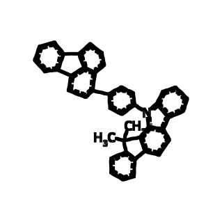 CC1(C)c2ccccc2-c2ccc3c4ccccc4n(-c4ccc(-c5ccc6c7c(cccc57)-c5ccccc5-6)cc4)c3c21